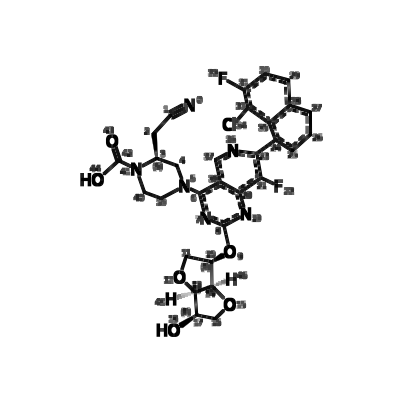 N#CC[C@H]1CN(c2nc(O[C@@H]3CO[C@H]4[C@@H]3OC[C@H]4O)nc3c(F)c(-c4cccc5ccc(F)c(Cl)c45)ncc23)CCN1C(=O)O